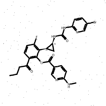 CCCC(=O)c1ccc(F)c([C@@H]2C[C@@H]2NC(=O)Nc2ccc(Br)cn2)c1OC(=O)c1ccc(NC)nc1